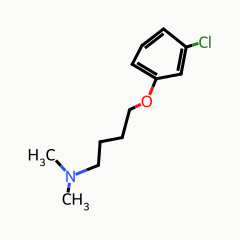 CN(C)CCCCOc1cccc(Cl)c1